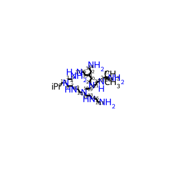 CC(C)CN(CCN)CCNCCN(CCNCCN)CCN(CCNCC(C)(C)N)CCC(CCN)CCN